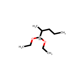 CCCC(C)[SiH](OCC)OCC